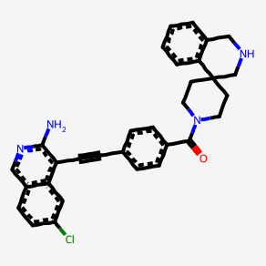 Nc1ncc2ccc(Cl)cc2c1C#Cc1ccc(C(=O)N2CCC3(CC2)CNCc2ccccc23)cc1